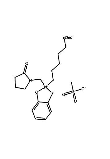 CCCCCCCCCCCCCCC[N+]1(CN2CCCC2=O)Oc2ccccc2S1.CS(=O)(=O)[O-]